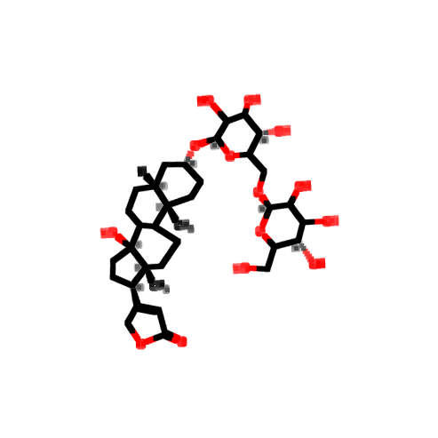 C[C@]12CC[C@@H](O[C@@H]3OC(CO[C@@H]4OC(CO)[C@@H](O)C(O)C4O)[C@@H](O)C(O)C3O)C[C@H]1CCC1C2CC[C@]2(C)[C@@H](C3=CC(=O)OC3)CC[C@]12O